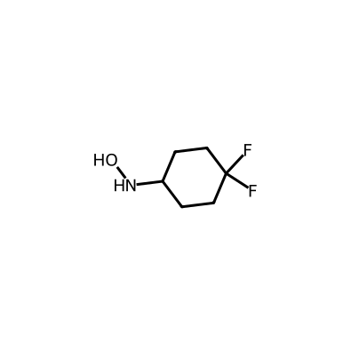 ONC1CCC(F)(F)CC1